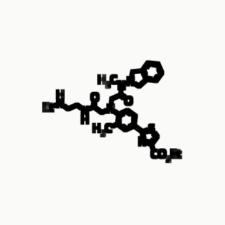 CCNCCNC(=O)CN(CC(=O)N(C)N1Cc2ccccc2C1)c1ccc(-c2nc(C(=O)OCC)cs2)cc1C